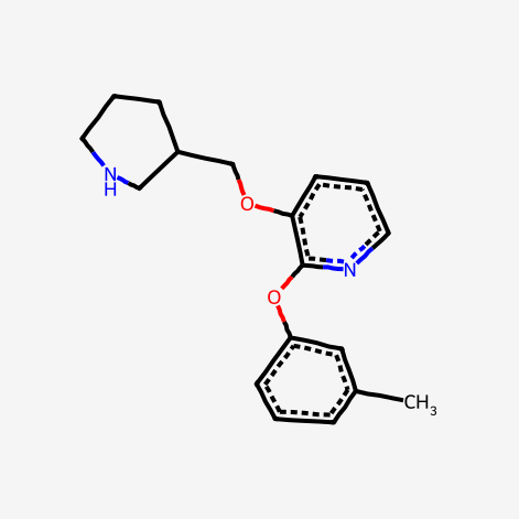 Cc1cccc(Oc2ncccc2OCC2CCCNC2)c1